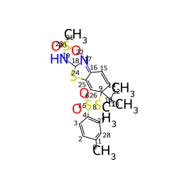 Cc1ccc(S(=O)(=O)SC2(C(C)(C)C)C=CC3=NC(NS(C)(=O)=O)SC3=C2)cc1